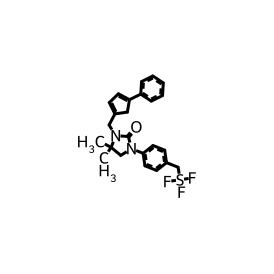 CC1(C)CN(c2ccc(CS(F)(F)F)cc2)C(=O)N1CC1=CC=C(c2ccccc2)C1